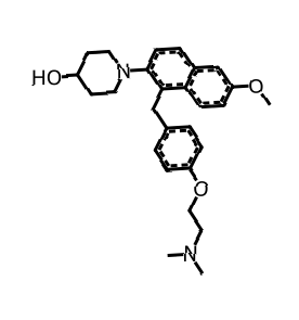 COc1ccc2c(Cc3ccc(OCCN(C)C)cc3)c(N3CCC(O)CC3)ccc2c1